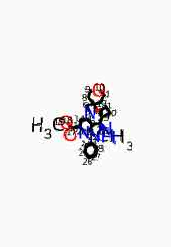 C/N=C(\c1c(N2CC3(CCOCC3)C2)cc(C(=O)OC)nc1Nc1ccccc1)C1CCC1